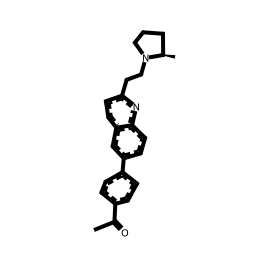 CC(=O)c1ccc(-c2ccc3nc(CCN4CCC[C@H]4C)ccc3c2)cc1